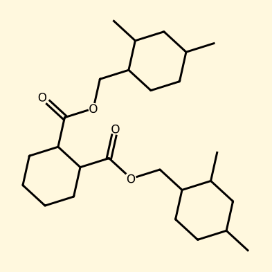 CC1CCC(COC(=O)C2CCCCC2C(=O)OCC2CCC(C)CC2C)C(C)C1